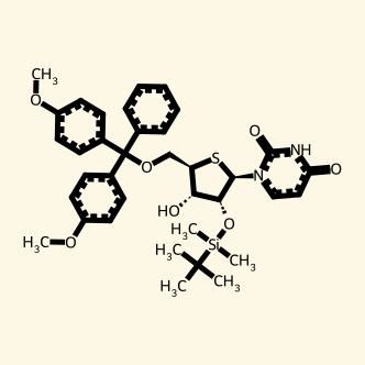 COc1ccc(C(OC[C@H]2S[C@@H](n3ccc(=O)[nH]c3=O)[C@H](O[Si](C)(C)C(C)(C)C)[C@@H]2O)(c2ccccc2)c2ccc(OC)cc2)cc1